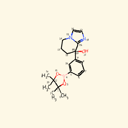 CC1(C)OB(c2cccc([C@]3(O)CCCn4ccnc43)c2)OC1(C)C